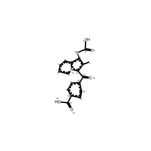 Cc1c(OC(=O)O)c2ccccn2c1C(=O)c1ccc(C(=O)O)cc1